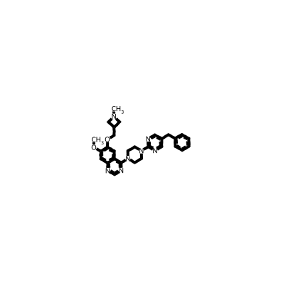 COc1cc2ncnc(N3CCN(c4ncc(Cc5ccccc5)cn4)CC3)c2cc1OCC1CN(C)C1